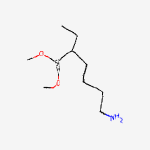 CCC(CCCCN)[SiH](OC)OC